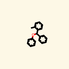 Cc1ccccc1C(Oc1[c]cccc1)c1ccccc1